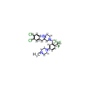 CN1CCN(c2ccc(C(F)(F)F)c(CN3CCNC(Cc4ccc(Cl)c(Cl)c4)C3)c2)CC1